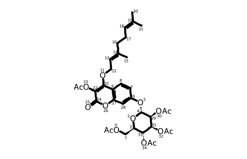 CC(=O)OC[C@H]1O[C@H](Oc2ccc3c(OC/C=C(\C)CCC=C(C)C)c(OC(C)=O)c(=O)oc3c2)[C@@H](OC(C)=O)[C@@H](OC(C)=O)[C@@H]1OC(C)=O